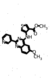 COC(=O)c1cscc1Nc1nc(-c2cccnc2)nc2ccc(OC)cc12